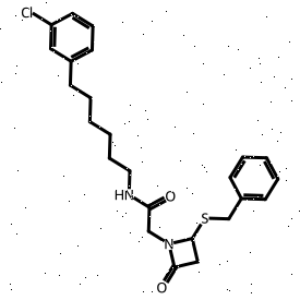 O=C(CN1C(=O)CC1SCc1ccccc1)NCCCCCCc1cccc(Cl)c1